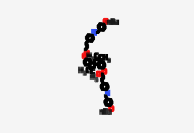 CCCCOc1ccc(C=Nc2ccc(/C=C/COOc3ccc4c(c3)C3(CC4(C)C)CC(C)(C)c4ccc(OC(=O)/C=C/c5ccc(N=Cc6ccc(OCCCC)cc6)cc5)cc43)cc2)cc1